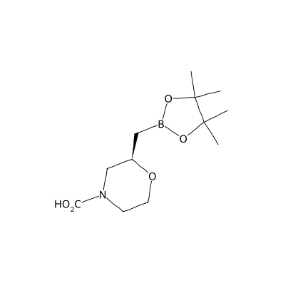 CC1(C)OB(C[C@@H]2CN(C(=O)O)CCO2)OC1(C)C